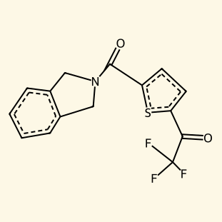 O=C(c1ccc(C(=O)C(F)(F)F)s1)N1Cc2ccccc2C1